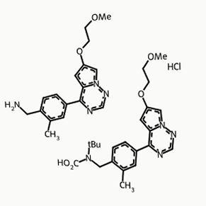 COCCOc1cc2c(-c3ccc(CN(C(=O)O)C(C)(C)C)c(C)c3)ncnn2c1.COCCOc1cc2c(-c3ccc(CN)c(C)c3)ncnn2c1.Cl